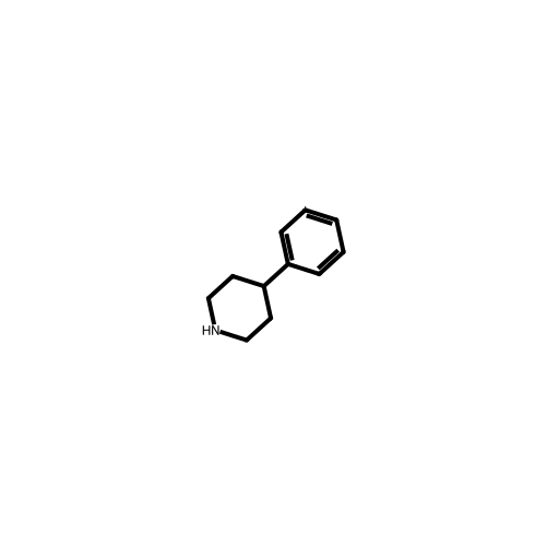 [c]1cccc(C2CCNCC2)c1